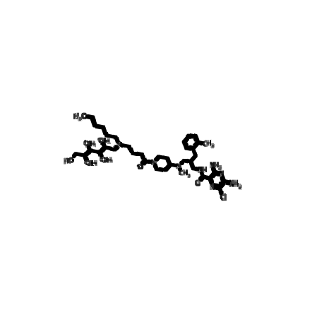 CCCCCCN(CCCC(=O)N1CCC(N(C)CC(CNC(=O)c2nc(Cl)c(N)nc2N)Cc2ccccc2C)CC1)CC(O)C(O)C(O)C(O)CO